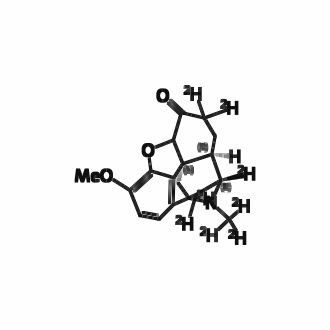 [2H]C1([2H])C[C@@H]2[C@@]34CCN(C([2H])([2H])[2H])[C@]2([2H])C([2H])([2H])c2ccc(OC)c(c23)OC4C1=O